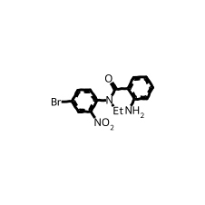 CCN(C(=O)c1ccccc1N)c1ccc(Br)cc1[N+](=O)[O-]